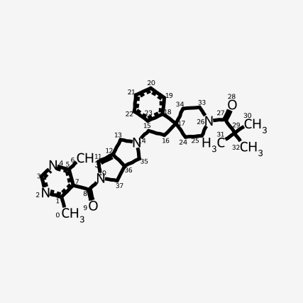 Cc1ncnc(C)c1C(=O)N1C=C2CN(CCC3(c4ccccc4)CCN(C(=O)C(C)(C)C)CC3)CC2C1